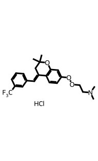 CN(C)CCOOc1ccc2c(c1)OC(C)(C)CC2=Cc1cccc(C(F)(F)F)c1.Cl